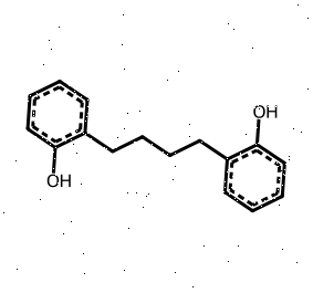 Oc1ccccc1CCCCc1ccccc1O